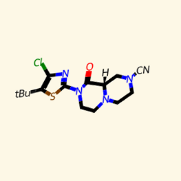 CC(C)(C)c1sc(N2CCN3CCN(C#N)C[C@H]3C2=O)nc1Cl